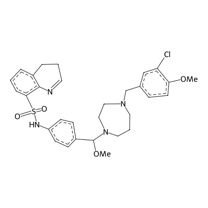 COc1ccc(CN2CCCN(C(OC)c3ccc(NS(=O)(=O)c4cccc5c4N=CCC5)cc3)CC2)cc1Cl